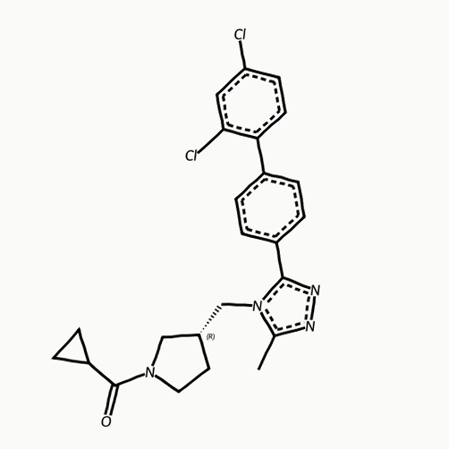 Cc1nnc(-c2ccc(-c3ccc(Cl)cc3Cl)cc2)n1C[C@@H]1CCN(C(=O)C2CC2)C1